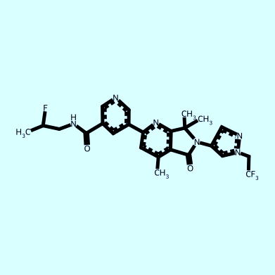 Cc1cc(-c2cncc(C(=O)NCC(C)F)c2)nc2c1C(=O)N(c1cnn(CC(F)(F)F)c1)C2(C)C